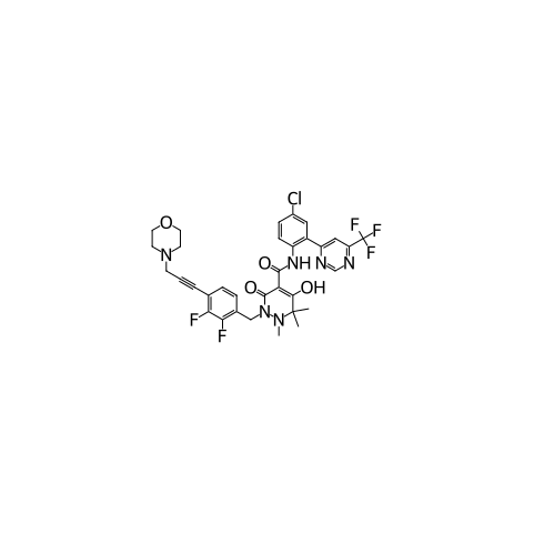 CN1N(Cc2ccc(C#CCN3CCOCC3)c(F)c2F)C(=O)C(C(=O)Nc2ccc(Cl)cc2-c2cc(C(F)(F)F)ncn2)=C(O)C1(C)C